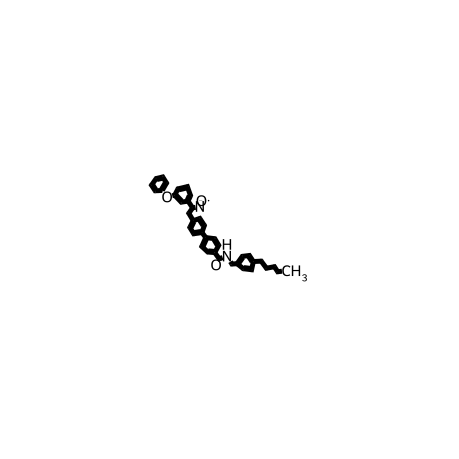 CCCCCc1ccc(CNC(=O)c2ccc(-c3ccc(CC([N][O])c4cccc(Oc5ccccc5)c4)cc3)cc2)cc1